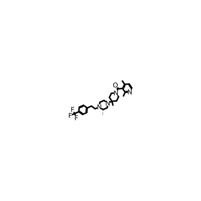 Cc1ccnc(C)c1C(=O)N1CCC(C)(N2CCN(CCc3ccc(C(F)(F)F)cc3)[C@@H](C)C2)CC1